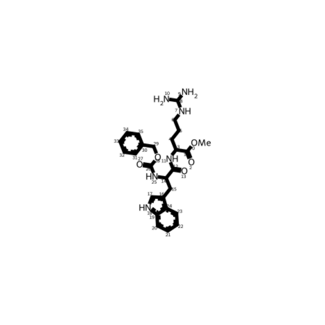 COC(=O)C(CCCNC(N)N)NC(=O)C(Cc1c[nH]c2ccccc12)NC(=O)OCc1ccccc1